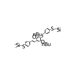 CCCCOc1cc(C=Cc2ccc(SCC[Si](C)(C)C)cc2)c(OCCCC)cc1C=Cc1ccc(SCC[Si](C)(C)C)cc1